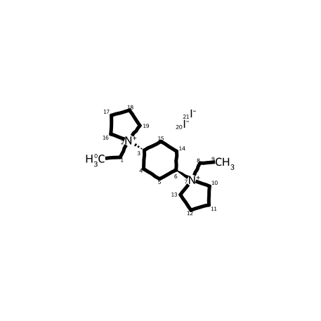 CC[N+]1([C@H]2CC[C@H]([N+]3(CC)CCCC3)CC2)CCCC1.[I-].[I-]